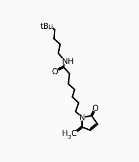 C=C1C=CC(=O)N1CCCCCCC(=O)NCCCCC(C)(C)C